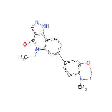 CCn1c(=O)c2cn[nH]c2c2ccc(-c3ccc4c(c3)OCCN4C)cc21